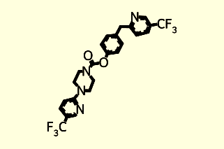 O=C(Oc1ccc(Cc2ccc(C(F)(F)F)cn2)cc1)N1CCN(c2ccc(C(F)(F)F)cn2)CC1